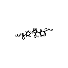 CC[C@H](C)NC(=O)c1ccc(-n2ncc(-c3ccnc(OC)c3)c2O)nc1